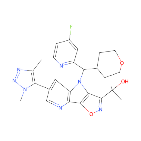 Cc1nnn(C)c1-c1cnc2c3onc(C(C)(C)O)c3n(C(c3cc(F)ccn3)C3CCOCC3)c2c1